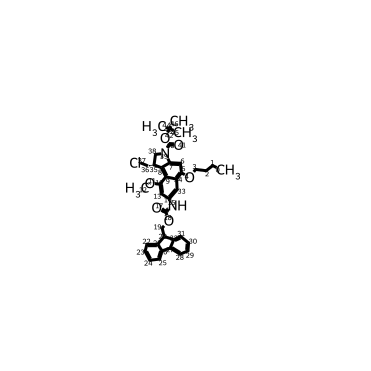 CCCCOc1cc2c(c3c(OC)cc(NC(=O)OCC4c5ccccc5-c5ccccc54)cc13)[C@H](CCl)CN2C(=O)OC(C)(C)C